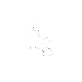 CC(=O)CC(=O)NS(=O)(=O)c1ccccc1C